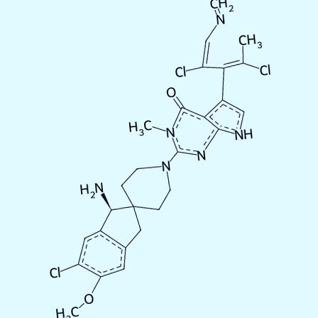 C=N/C=C(Cl)\C(=C(/C)Cl)c1c[nH]c2nc(N3CCC4(CC3)Cc3cc(OC)c(Cl)cc3[C@H]4N)n(C)c(=O)c12